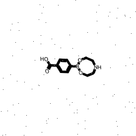 O=C(O)c1ccc(B2OCCNCCO2)cc1